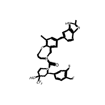 Cc1nc2ccc(-c3cc(C)c4c(c3)CN(C(=O)N3CCC(O)(C(F)(F)F)CC3c3ccc(F)c(F)c3)CCO4)cc2[nH]1